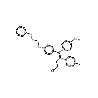 COc1ccc(C(=C(CCCl)c2ccc(Cl)cc2)c2ccc(OCCCc3ccccc3)cc2)cc1